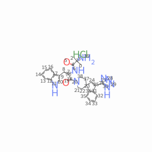 CC(C)(N)C(=O)N[C@H](Cc1c[nH]c2ccccc12)C(=O)N1CCC2(C=C(c3nnn[nH]3)c3ccccc32)CC1.Cl